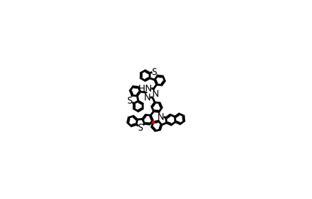 c1ccc2cc3c(cc2c1)c1ccccc1n3-c1ccc(C2=NC(c3cccc4sc5ccccc5c34)NC(c3cccc4sc5ccccc5c34)=N2)cc1-c1ccc2sc3ccccc3c2c1